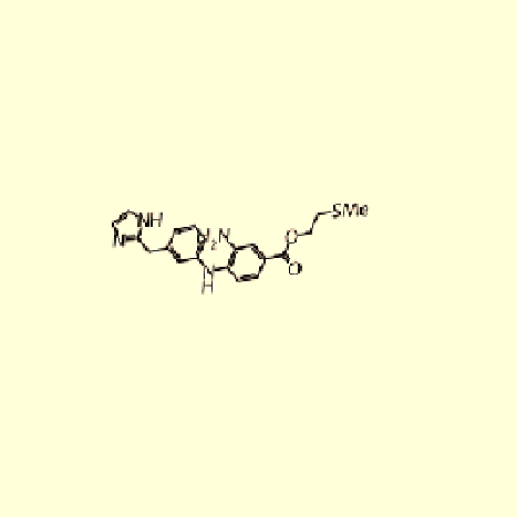 CSCCOC(=O)c1ccc(Nc2cccc(Cc3ncc[nH]3)c2)c(N)c1